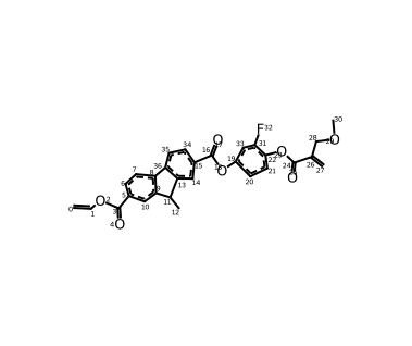 C=COC(=O)c1ccc2c(c1)C(C)c1cc(C(=O)Oc3ccc(OC(=O)C(=C)COC)c(F)c3)ccc1-2